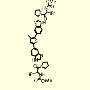 COC(=O)N[C@H](C(=O)N1CCC[C@H]1c1nc2cc(-c3cc(C)c(-c4ccc5[nH]c([C@@H]6CCCN6C(=O)[C@@H](NC(=O)OC)C(C)C)nc5c4)s3)ccc2[nH]1)C(C)C